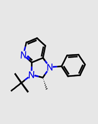 C[C@H]1N(c2ccccc2)c2cccnc2N1C(C)(C)C